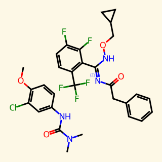 COc1ccc(NC(=O)N(C)C)cc1Cl.O=C(Cc1ccccc1)/N=C(\NOCC1CC1)c1c(C(F)(F)F)ccc(F)c1F